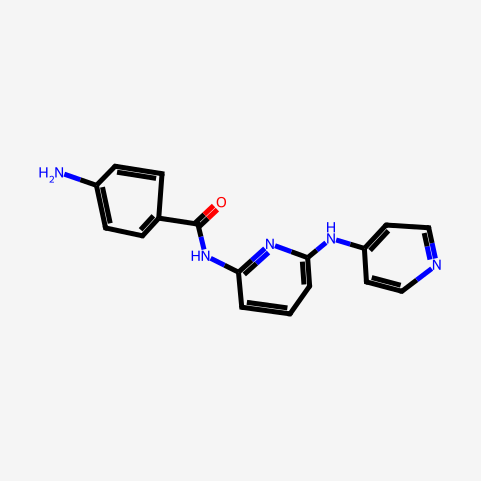 Nc1ccc(C(=O)Nc2cccc(Nc3ccncc3)n2)cc1